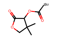 CCC(C)C(=O)OC1C(=O)OCC1(C)C